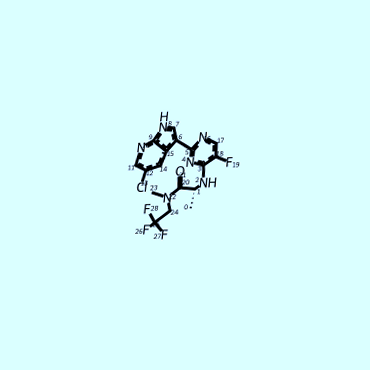 C[C@@H](Nc1nc(-c2c[nH]c3ncc(Cl)cc23)ncc1F)C(=O)N(C)CC(F)(F)F